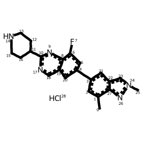 Cc1cc(-c2cc(F)c3nc(C4CCNCC4)ncc3c2)cc2cn(C)nc12.Cl